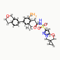 Cc1cc(-c2ccc3c(c2)COCC3)cc(P)c1CC(=O)NS(=O)(=O)c1cc2n(n1)CC1(CC1)CO2